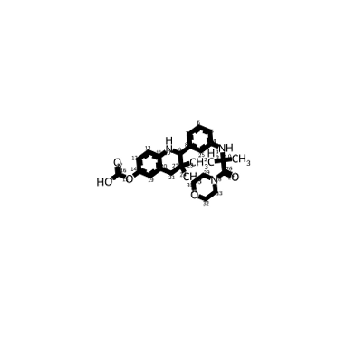 CC(C)(Nc1cccc(C2Nc3ccc(OC(=O)O)cc3CC2(C)C)c1)C(=O)N1CCOCC1